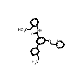 NCc1cccc(-c2cc(OCc3ncccn3)cc(C(=O)Nc3ccccc3CC(=O)O)c2)c1